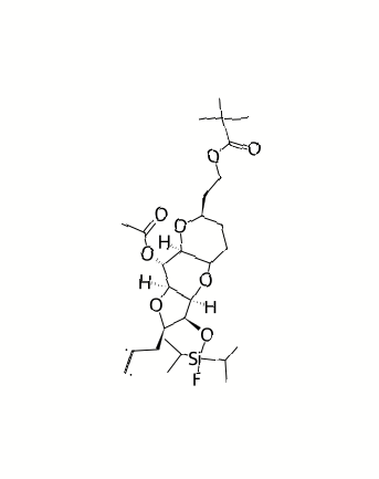 [CH2][CH]C[C@H]1O[C@@H]2[C@@H](OC3CC[C@H](CCOC(=O)C(C)(C)C)O[C@@H]3[C@H]2OC(C)=O)[C@H]1O[Si](F)(C(C)C)C(C)C